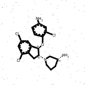 Nc1ccc(O[C@@H]2c3cc(Cl)cc(Cl)c3C[C@H]2N2CCC[C@@H](N)C2)c(Cl)c1